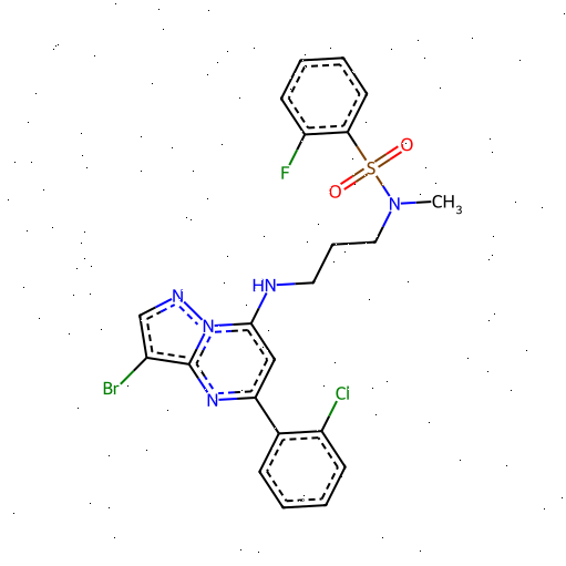 CN(CCCNc1cc(-c2ccccc2Cl)nc2c(Br)cnn12)S(=O)(=O)c1ccccc1F